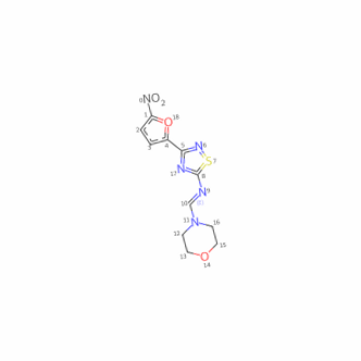 O=[N+]([O-])c1ccc(-c2nsc(/N=C/N3CCOCC3)n2)o1